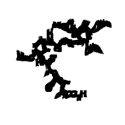 COc1cc(OC)c(C=CC(=O)Nc2ccc(OC)c(NC(=O)COC(=O)CCC(=O)O)c2)c(OC)c1